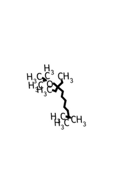 CCC(CC)(CCCCCC(C)(C)C)COC(C)(C)C